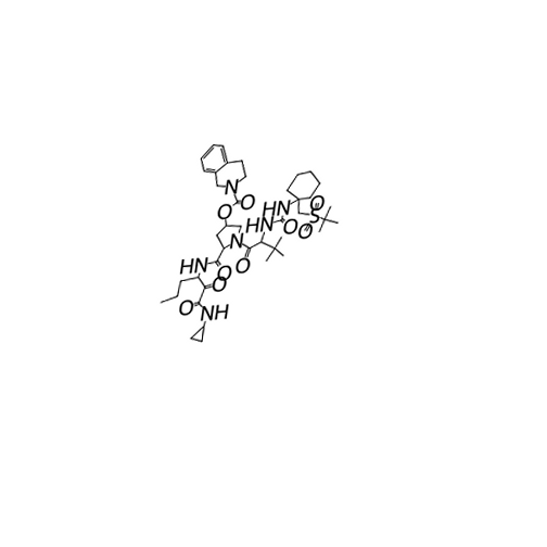 CCCC(NC(=O)C1CC(OC(=O)N2CCc3ccccc3C2)CN1C(=O)C(NC(=O)NC1(CS(=O)(=O)C(C)(C)C)CCCCC1)C(C)(C)C)C(=O)C(=O)NC1CC1